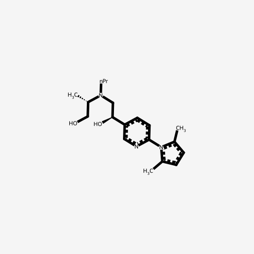 CCCN(C[C@H](O)c1ccc(-n2c(C)ccc2C)nc1)[C@@H](C)CO